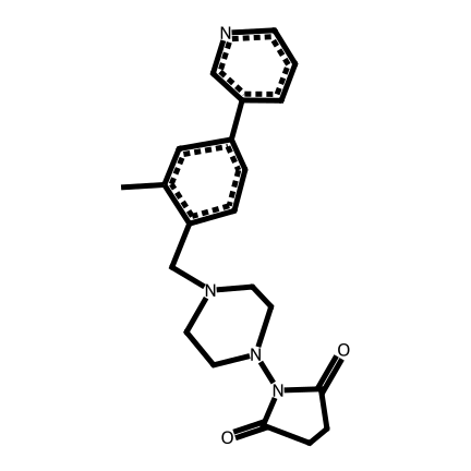 Cc1cc(-c2cccnc2)ccc1CN1CCN(N2C(=O)CCC2=O)CC1